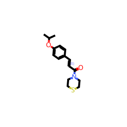 CC(C)Oc1ccc(/C=C/C(=O)N2CCSCC2)cc1